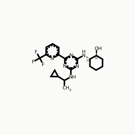 CC(Nc1nc(N[C@H]2CCCC[C@@H]2O)nc(-c2cccc(C(F)(F)F)n2)n1)C1CC1